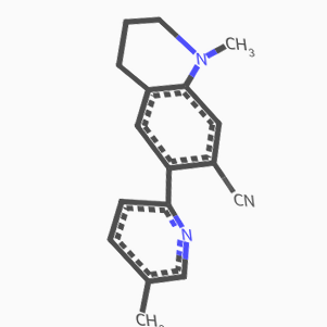 Cc1ccc(-c2cc3c(cc2C#N)N(C)CCC3)nc1